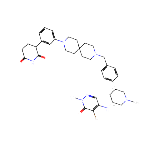 CN1C[C@H](Nc2cnn(C)c(=O)c2Br)C[C@H](c2ccc(CN3CCC4(CC3)CCN(c3cccc(C5CCC(=O)NC5=O)c3)CC4)cc2)C1